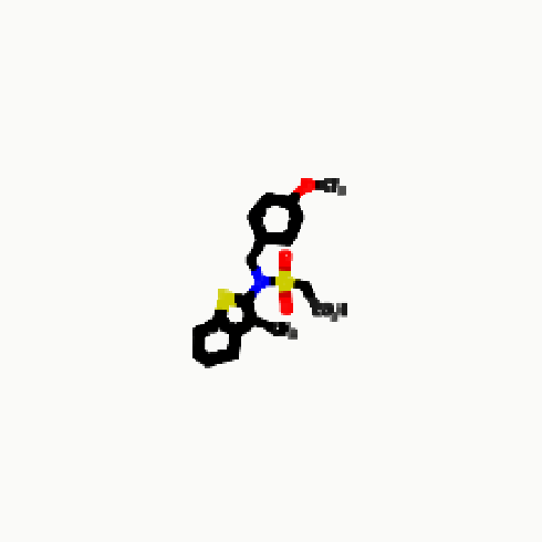 Cc1c(N(Cc2ccc(OC(F)(F)F)cc2)S(=O)(=O)CC(=O)O)sc2ccccc12